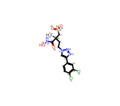 C[C@](CCn1cc(-c2ccc(Cl)c(Cl)c2)nn1)(C[SH](=O)=O)C(=O)NO